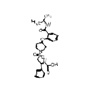 CC(C)NC(=O)c1ccccc1OC1CCN(S(=O)(=O)CC(NC(=O)O)c2ccccc2)CC1